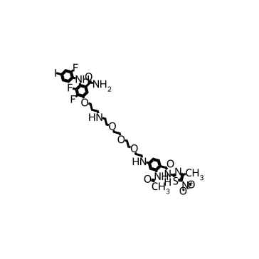 CC(=O)Nc1cc(NCCOCCOCCOCCNCCCOc2cc(C(N)=O)c(Nc3ccc(I)cc3F)c(F)c2F)ccc1C(=O)Nc1nc(C)c([N+](=O)[O-])s1